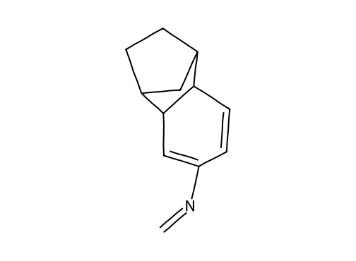 C=NC1=CC2C3CCC(C3)C2C=C1